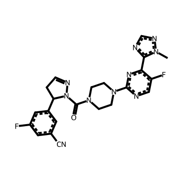 Cn1ncnc1-c1nc(N2CCN(C(=O)N3N=CCC3c3cc(F)cc(C#N)c3)CC2)ncc1F